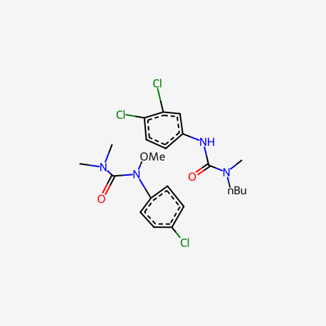 CCCCN(C)C(=O)Nc1ccc(Cl)c(Cl)c1.CON(C(=O)N(C)C)c1ccc(Cl)cc1